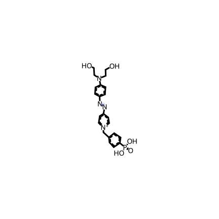 O=P(O)(O)c1ccc(C[n+]2ccc(/N=N/c3ccc(N(CCO)CCO)cc3)cc2)cc1